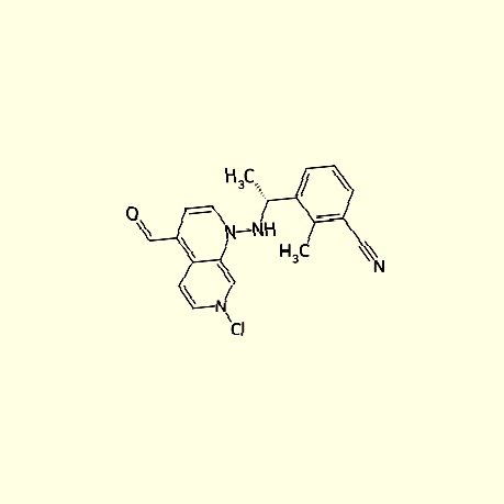 Cc1c(C#N)cccc1[C@@H](C)NN1C=CC(C=O)=C2C=CN(Cl)C=C21